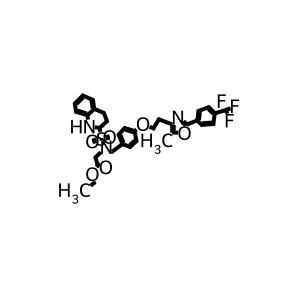 CCOC(=O)CN(Cc1ccc(OCCc2nc(-c3ccc(C(F)(F)F)cc3)oc2C)cc1)S(=O)(=O)C1CCc2ccccc2N1